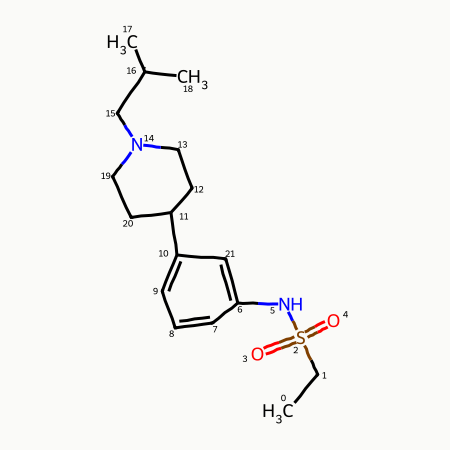 CCS(=O)(=O)Nc1cccc(C2CCN(C[C](C)C)CC2)c1